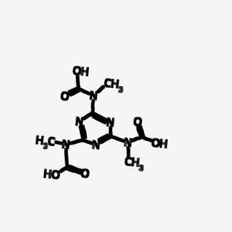 CN(C(=O)O)c1nc(N(C)C(=O)O)nc(N(C)C(=O)O)n1